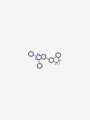 CC1(C)c2ccccc2-c2cc(-c3ccc4nc(-c5ccccc5)nc(-c5ccccc5)c4c3)ccc2C1(C)C